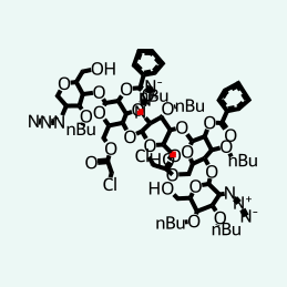 CCCCOC1C(N=[N+]=[N-])COC(CO)C1OC1OC(COC(=O)CCl)C(OC2OC(CO)C(OC3OC(COC(=O)CCl)C(OC4OC(CO)C(OCCCC)C(OCCCC)C4N=[N+]=[N-])C(OCCCC)C3OC(=O)c3ccccc3)C(OCCCC)C2N=[N+]=[N-])C(OCCCC)C1OC(=O)c1ccccc1